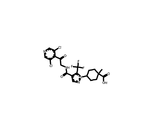 CC1(C(=O)O)CCC(n2ncc(C(=O)NCC(=O)c3c(Cl)cncc3Cl)c2C(F)(F)F)CC1